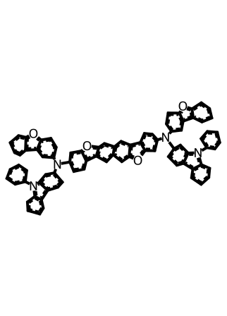 c1ccc(-n2c3ccccc3c3ccc(N(c4ccc5c(c4)oc4cc6cc7c(cc6cc45)oc4cc(N(c5ccc6oc8ccccc8c6c5)c5ccc6c8ccccc8n(-c8ccccc8)c6c5)ccc47)c4ccc5oc6ccccc6c5c4)cc32)cc1